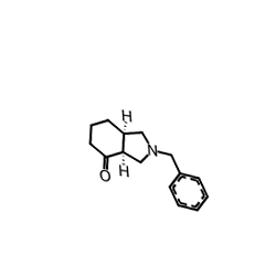 O=C1CCC[C@H]2CN(Cc3ccccc3)C[C@@H]12